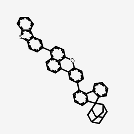 c1ccc2c(c1)-c1c(-c3ccc4c(c3)-c3cccc5c(-c6ccc7sc8ccccc8c7c6)ccc(c35)O4)cccc1C21C2CC3CC(C2)CC1C3